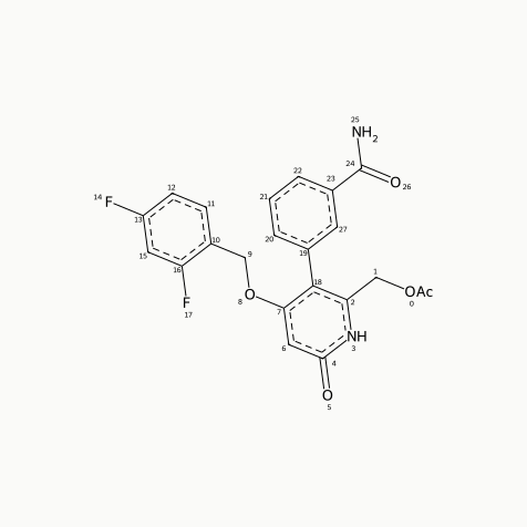 CC(=O)OCc1[nH]c(=O)cc(OCc2ccc(F)cc2F)c1-c1cccc(C(N)=O)c1